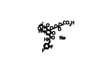 C[C@H]1CO[C@@H]2Cn3cc(C(=O)NCc4ccc(F)cc4F)c(=O)c(OCOC(=O)OCC(=O)O)c3C(=O)N12.[Na]